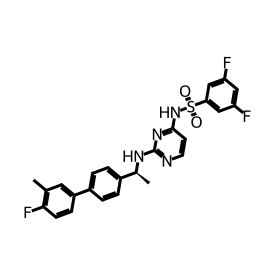 Cc1cc(-c2ccc([C@H](C)Nc3nccc(NS(=O)(=O)c4cc(F)cc(F)c4)n3)cc2)ccc1F